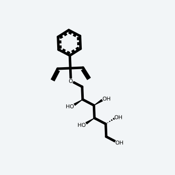 C=CC(C=C)(OC[C@H](O)[C@@H](O)[C@H](O)[C@H](O)CO)c1ccccc1